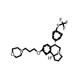 FC(F)(F)Sc1ccc([C@@H]2CN3CCC[C@H]3c3cc(OCCCN4CCOCC4)ccc32)cc1